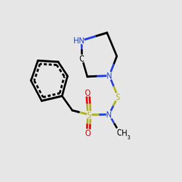 CN(SN1CCNCC1)S(=O)(=O)Cc1ccccc1